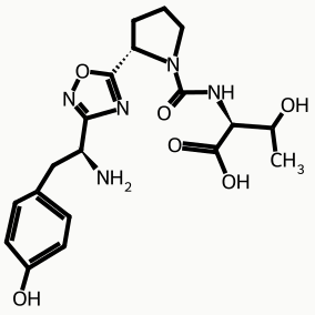 CC(O)[C@H](NC(=O)N1CCC[C@H]1c1nc([C@@H](N)Cc2ccc(O)cc2)no1)C(=O)O